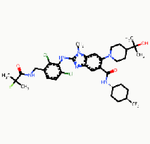 Cn1c(Nc2c(Cl)ccc(CNC(=O)C(C)(C)F)c2Cl)nc2cc(C(=O)N[C@H]3CC[C@H](C(F)(F)F)CC3)c(N3CCC(C(C)(C)O)CC3)cc21